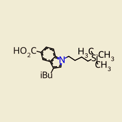 CCC(C)c1cn(CCCC[Si](C)(C)C)c2ccc(C(=O)O)cc12